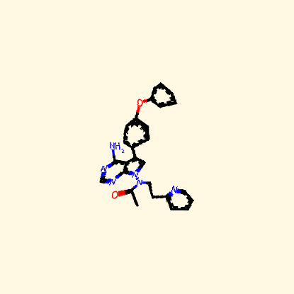 CC(=O)N(CCc1ccccn1)n1cc(-c2ccc(Oc3ccccc3)cc2)c2c(N)ncnc21